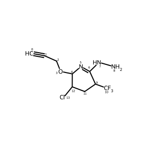 C#CCOC1N=C(NN)C(C(F)(F)F)CC1Cl